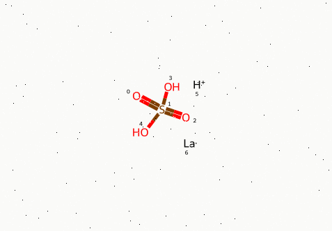 O=S(=O)(O)O.[H+].[La]